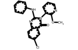 COc1ncccc1-n1c(Nc2ccccc2)nc2ccc(Cl)cc2c1=O